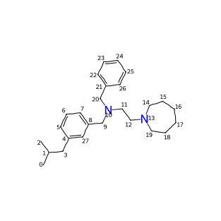 CC(C)Cc1cccc(CN(CCN2CCCCCC2)Cc2ccccc2)c1